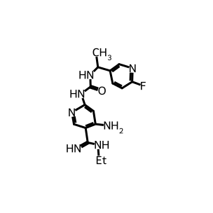 CCNC(=N)c1cnc(NC(=O)NC(C)c2ccc(F)nc2)cc1N